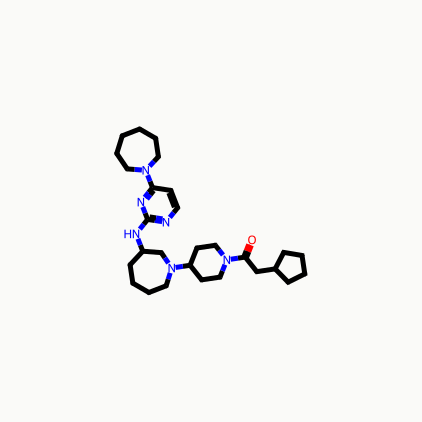 O=C(CC1CCCC1)N1CCC(N2CCCCC(Nc3nccc(N4CCCCCC4)n3)C2)CC1